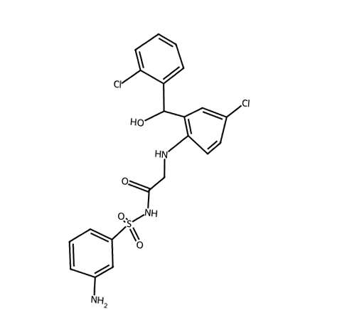 Nc1cccc(S(=O)(=O)NC(=O)CNc2ccc(Cl)cc2C(O)c2ccccc2Cl)c1